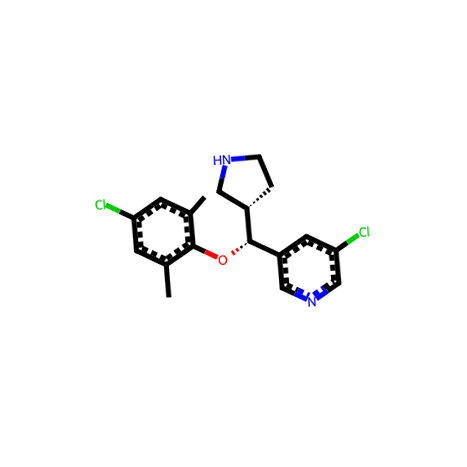 Cc1cc(Cl)cc(C)c1O[C@@H](c1cncc(Cl)c1)[C@H]1CCNC1